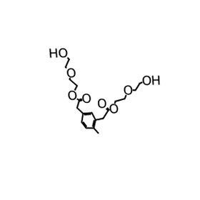 Cc1ccc(CC(=O)OCCOCCO)cc1CC(=O)OCCOCCO